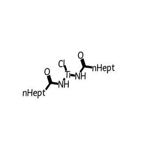 CCCCCCCC(=O)[NH][Ti]([Cl])[NH]C(=O)CCCCCCC